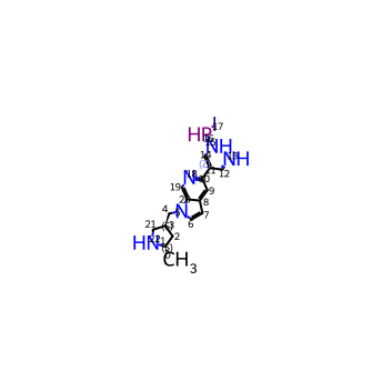 C[C@H]1C[C@H](Cn2ccc3cc(/C(C=N)=C/NPI)ncc32)CN1